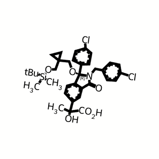 CC(O)(C(=O)O)c1ccc2c(c1)C(=O)N(Cc1ccc(Cl)cc1)[C@@]2(OCC1(CO[Si](C)(C)C(C)(C)C)CC1)c1ccc(Cl)cc1